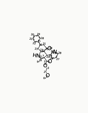 COCCOC(=O)C1=C(C)NC2=C(C(=O)CC(c3ccccc3)C2)C1c1cccnc1